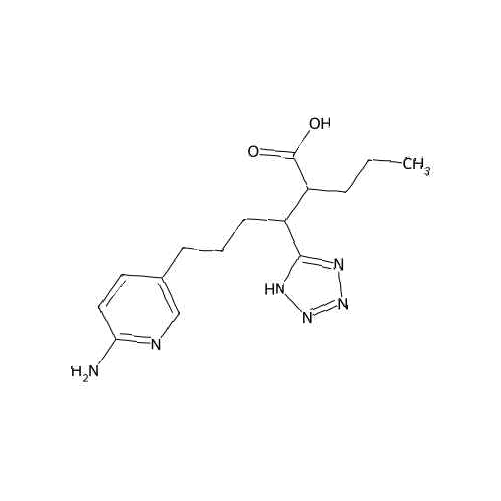 CCCC(C(=O)O)C(CCCc1ccc(N)nc1)c1nnn[nH]1